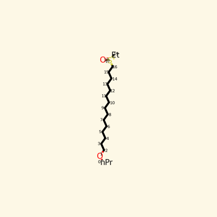 CCCOCCCCCCCCCCCCCCC[S+]([O-])CC